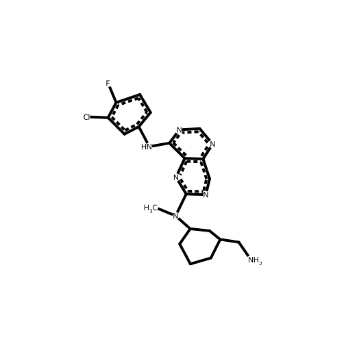 CN(c1ncc2ncnc(Nc3ccc(F)c(Cl)c3)c2n1)C1CCCC(CN)C1